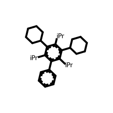 CC(C)c1c(-c2ccccc2)c(C(C)C)c(C2CCCCC2)c(C(C)C)c1C1CCCCC1